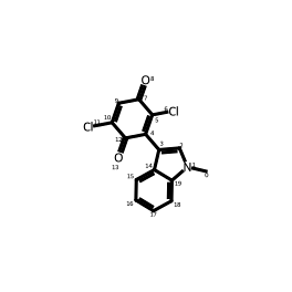 Cn1cc(C2=C(Cl)C(=O)C=C(Cl)C2=O)c2ccccc21